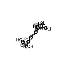 CC(=N)N1C(=N)[C@H](CC(=O)N2CCC(CCN3CCN(c4ccc(-n5c(O)nnc5-c5cc(C(C)C)c(O)cc5O)cc4)CC3)CC2)N=C(c2ccc(Cl)cc2)c2c1sc(C)c2C